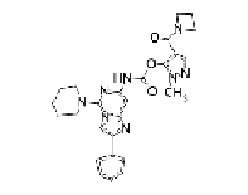 Cn1ncc(C(=O)N2CCC2)c1OC(=O)Nc1cc2nc(-c3ccccc3)cn2c(N2CCCCC2)n1